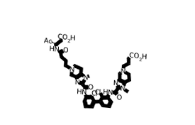 CC(=O)[C@H](CC(=O)O)NC(=O)CCCN1CCc2c(nc(C(=O)Nc3cccc(-c4cccc(NC(=O)c5nc6c(n5C)CCN(CCCC(=O)O)C6)c4Cl)c3Cl)n2C)C1